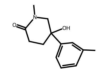 Cc1cccc(C2(O)CCC(=O)N(C)C2)c1